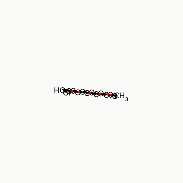 COCCOCCOCCOCCOCCOCCOCCOCCOCCOCCOCC(O)CO